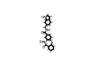 CCN1C(=O)c2ccccc2Sc2ccc(C(=O)NCc3ccc4cc[nH]c4c3)cc21